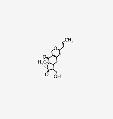 C/C=C/C1=CC2=C(CO1)C(=O)[C@]1(C)OC(=O)C(CO)C1C2